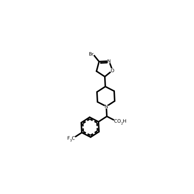 O=C(O)C(c1ccc(C(F)(F)F)cc1)N1CCC(C2CC(Br)=NO2)CC1